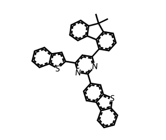 CC1(C)c2ccccc2-c2c(-c3cc(-c4cc5ccccc5s4)nc(-c4ccc5c(c4)sc4ccccc45)n3)cccc21